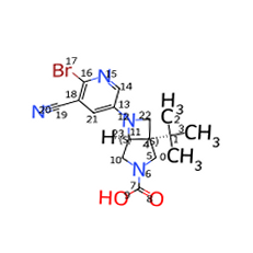 CC(C)(C)[C@]12CN(C(=O)O)C[C@H]1N(c1cnc(Br)c(C#N)c1)C2